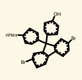 CCCCCCc1ccc(C2(c3ccc(O)cc3)c3cc(Br)ccc3-c3ccc(Br)cc32)cc1